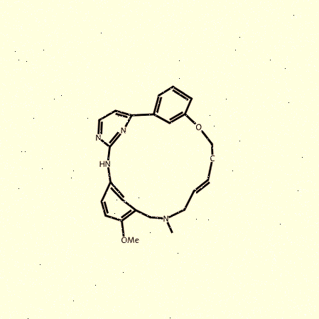 COc1ccc2cc1CN(C)C/C=C/CCOc1cccc(c1)-c1ccnc(n1)N2